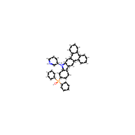 O=P(c1ccccc1)(c1ccccc1)c1ccc2c3cc4c5ccccc5c5ccccc5c4cc3n(-c3cccnc3)c2c1